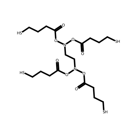 O=C(CCCS)ON(CCN(OC(=O)CCCS)OC(=O)CCCS)OC(=O)CCCS